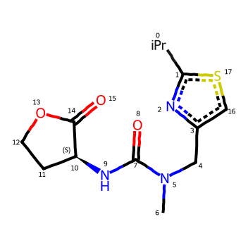 CC(C)c1nc(CN(C)C(=O)N[C@H]2CCOC2=O)cs1